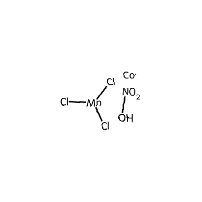 O=[N+]([O-])O.[Cl][Mn]([Cl])[Cl].[Co]